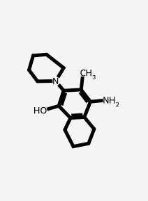 Cc1c(N)c2c(c(O)c1N1CCCCC1)CCCC2